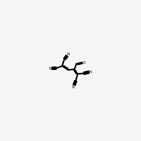 N#CC(C#N)=CC(C=O)=C(C#N)C#N